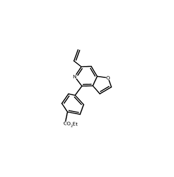 C=Cc1cc2occc2c(-c2ccc(C(=O)OCC)cc2)n1